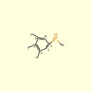 CPc1cc(C)c(C)c(C)c1